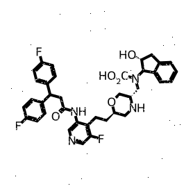 O=C(CC(c1ccc(F)cc1)c1ccc(F)cc1)Nc1cncc(F)c1CC[C@@H]1CN[C@@H](CN(C(=O)O)C2c3ccccc3C[C@H]2O)CO1